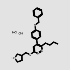 CCCCc1nnc(OCC2CCNC2)cc1-c1ccc(OCc2ccccc2)cc1.Cl.Cl